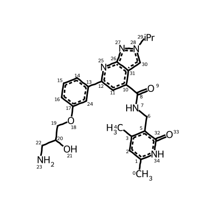 Cc1cc(C)c(CNC(=O)c2cc(-c3cccc(OCC(O)CN)c3)nc3nn(C(C)C)cc23)c(=O)[nH]1